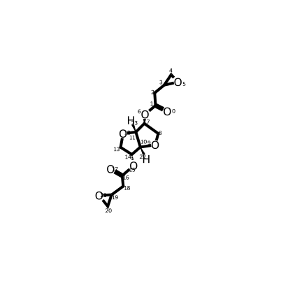 O=C(CC1CO1)O[C@H]1CO[C@H]2[C@@H]1OC[C@H]2OC(=O)CC1CO1